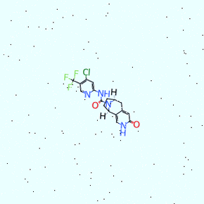 O=C(Nc1cc(Cl)c(C(F)(F)F)cn1)N1[C@H]2CC[C@@H]1c1c[nH]c(=O)cc1C2